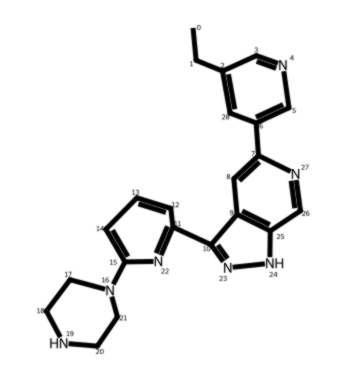 CCc1cncc(-c2cc3c(-c4cccc(N5CCNCC5)n4)n[nH]c3cn2)c1